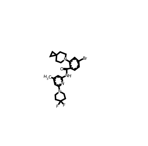 Cc1cc(NC(=O)c2ccc(Br)cc2N2CCC3(CC2)CC3)nc(N2CCC(F)(F)CC2)c1